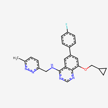 Cc1ccc(CNc2ncnc3c(OCC4CC4)cc(-c4ccc(F)cc4)cc23)nn1